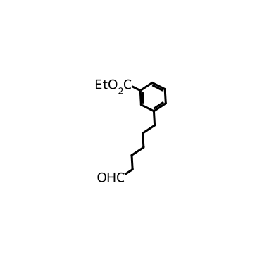 CCOC(=O)c1cccc(CCCCCC=O)c1